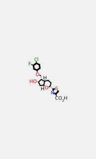 O=C(O)c1csc([C@H]2CC[C@@H]3[C@@H](COc4ccc(Cl)c(F)c4)[C@@H](O)C[C@@H]3O2)n1